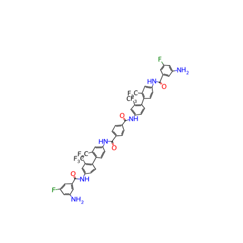 Nc1cc(F)cc(C(=O)Nc2ccc(-c3ccc(NC(=O)c4ccc(C(=O)Nc5ccc(-c6ccc(NC(=O)c7cc(N)cc(F)c7)cc6C(F)(F)F)c(C(F)(F)F)c5)cc4)cc3C(F)(F)F)c(C(F)(F)F)c2)c1